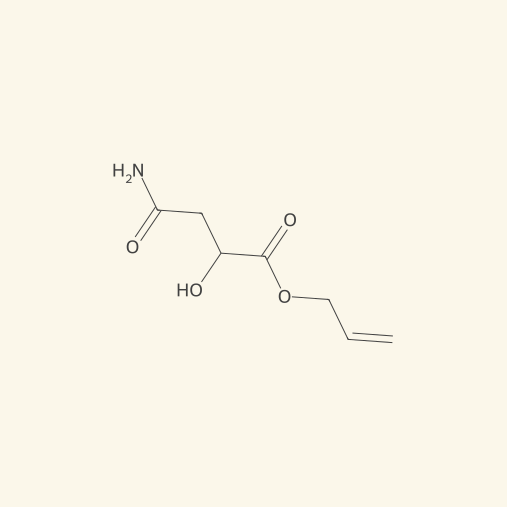 C=CCOC(=O)C(O)CC(N)=O